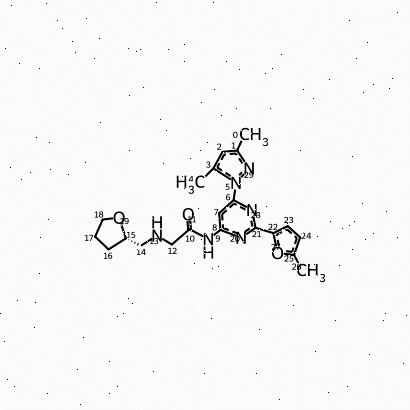 Cc1cc(C)n(-c2cc(NC(=O)CNC[C@@H]3CCCO3)nc(-c3ccc(C)o3)n2)n1